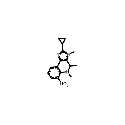 CC1c2c(nc(C3CC3)n2C)-c2cccc([N+](=O)[O-])c2N1C